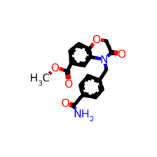 COC(=O)c1ccc2c(c1)N(Cc1ccc(C(N)=O)cc1)C(=O)CO2